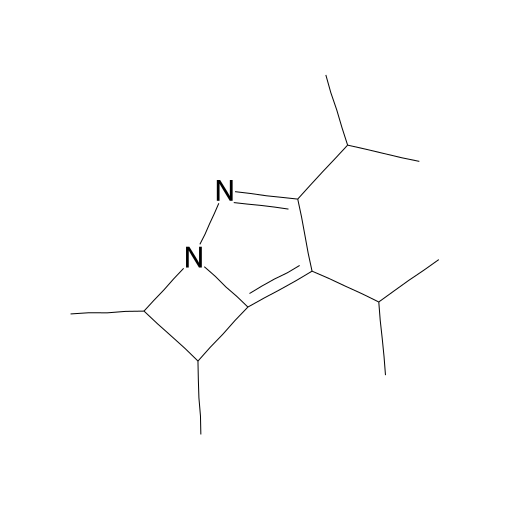 CC(C)c1nn2c(c1C(C)C)C(C)C2C